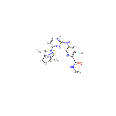 CNC(=O)c1ncc(Nc2nccc(N3C[C@H]4CC[C@@H](C3)N4)n2)cc1F